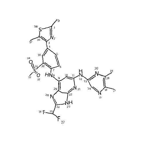 Cc1nc(-c2ccc(Nc3cc(Nc4cnc(C)c(C)n4)nc4[nH]c(C(F)F)nc34)c(S(C)(=O)=O)c2)c(C)s1